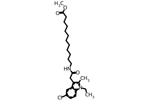 CCn1c(C)c(CC(=O)NCCCCCCCCCCCC(=O)OC)c2cc(Cl)ccc21